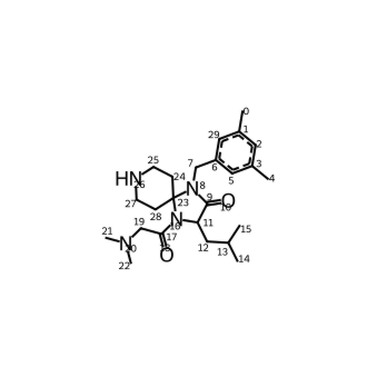 Cc1cc(C)cc(CN2C(=O)C(CC(C)C)N(C(=O)CN(C)C)C23CCNCC3)c1